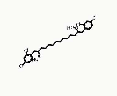 OOC(CCCCCCCCCCC(Cc1ccc(Cl)cc1Cl)OO)Cc1ccc(Cl)cc1Cl